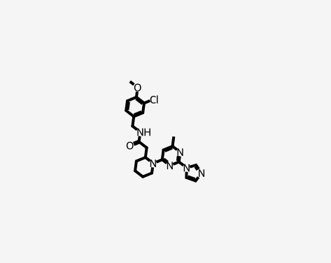 COc1ccc(CNC(=O)CC2CCCCN2c2cc(C)nc(-n3ccnc3)n2)cc1Cl